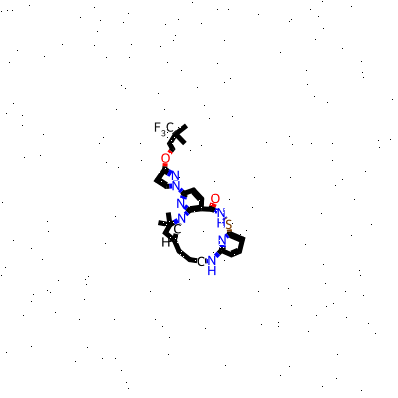 CC1(C)C[C@@H]2CCCNc3cccc(n3)SNC(=O)c3ccc(-n4ccc(OCCC(C)(C)C(F)(F)F)n4)nc3N1C2